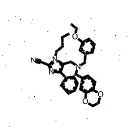 CCCCn1c(C#N)nc(-c2ccccc2)c1CN(Cc1cccc(OCC)c1)Cc1ccc2c(c1)OCCO2